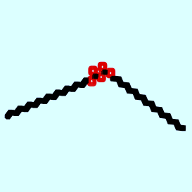 CCCCCCCCCCCCCCCCCCOC(=O)OC(=O)OCCCCCCCCCCCCCCCCCC